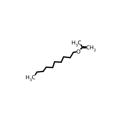 C=C(C)OCCCCCCCCCC